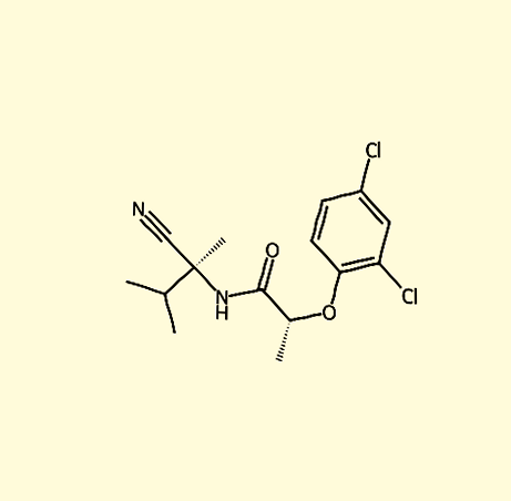 CC(C)[C@@](C)(C#N)NC(=O)[C@@H](C)Oc1ccc(Cl)cc1Cl